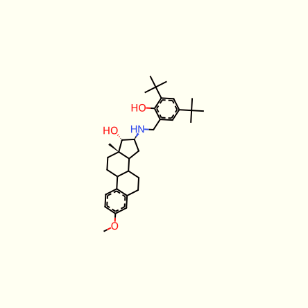 COc1ccc2c(c1)CCC1C2CC[C@@]2(C)C1C[C@H](NCc1cc(C(C)(C)C)cc(C(C)(C)C)c1O)[C@H]2O